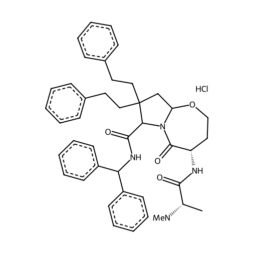 CN[C@@H](C)C(=O)N[C@H]1CCOC2CC(CCc3ccccc3)(CCc3ccccc3)C(C(=O)NC(c3ccccc3)c3ccccc3)N2C1=O.Cl